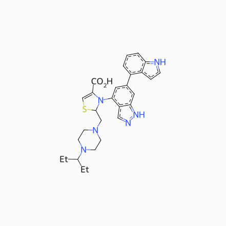 CCC(CC)N1CCN(CC2SC=C(C(=O)O)N2c2cc(-c3cccc4[nH]ccc34)cc3[nH]ncc23)CC1